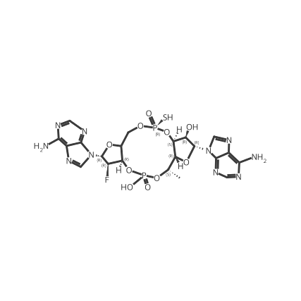 C[C@@H]1OP(=O)(O)O[C@@H]2C(CO[P@@](=O)(S)O[C@H]3[C@@H](O)[C@H](n4cnc5c(N)ncnc54)O[C@@H]31)O[C@@H](n1cnc3c(N)ncnc31)[C@@H]2F